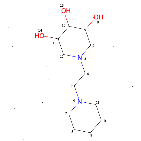 OC1CN(CCN2CCCCC2)CC(O)C1O